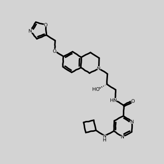 O=C(NC[C@H](O)CN1CCc2cc(OCc3cnco3)ccc2C1)c1cc(NC2CCC2)ncn1